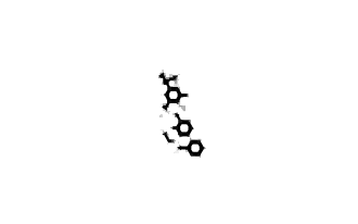 C#CCN(C(=O)c1ccccc1)c1cccc(C(=O)Nc2c(I)cc(C(F)(C(F)(F)F)C(F)(F)F)cc2C(F)(F)F)c1F